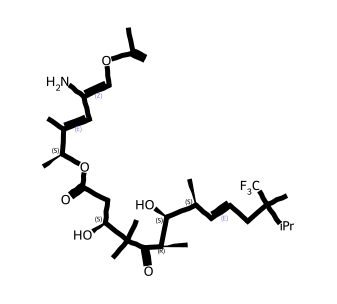 C=C(C)O/C=C(N)/C=C(\C)[C@H](C)OC(=O)C[C@H](O)C(C)(C)C(=O)[C@H](C)[C@@H](O)[C@@H](C)/C=C/CC(C)(C(C)C)C(F)(F)F